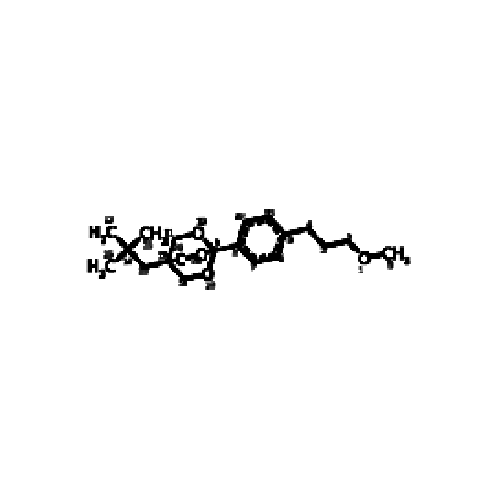 COCCCc1ccc(C23OCC(CC(C)(C)C)(CO2)CO3)cc1